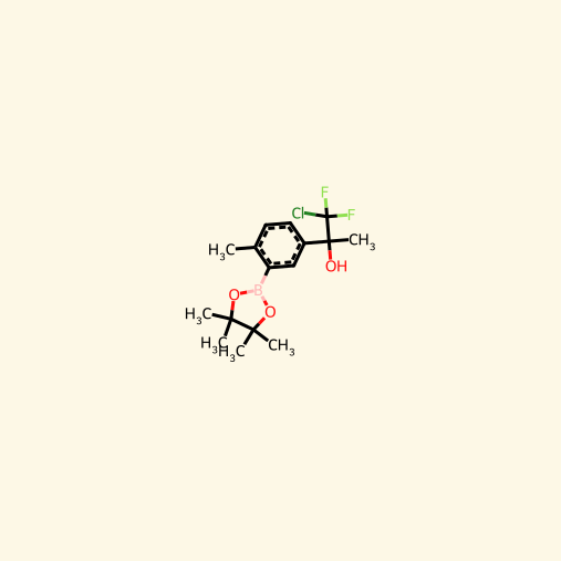 Cc1ccc(C(C)(O)C(F)(F)Cl)cc1B1OC(C)(C)C(C)(C)O1